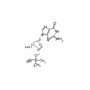 CC(C)(C)[Si](C)(C)OC[C@H]1O[C@@H](n2cnc3c(=O)[nH]c(N)nc32)C[C@H]1O